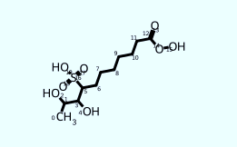 CC(O)C(O)C(CCCCCCC(=O)OO)S(=O)(=O)O